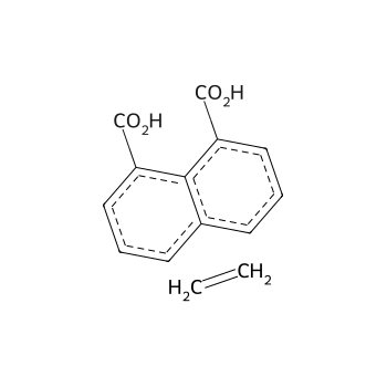 C=C.O=C(O)c1cccc2cccc(C(=O)O)c12